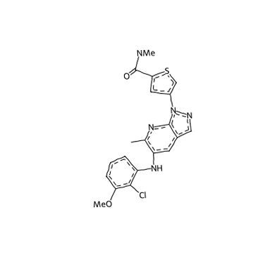 CNC(=O)c1cc(-n2ncc3cc(Nc4cccc(OC)c4Cl)c(C)nc32)cs1